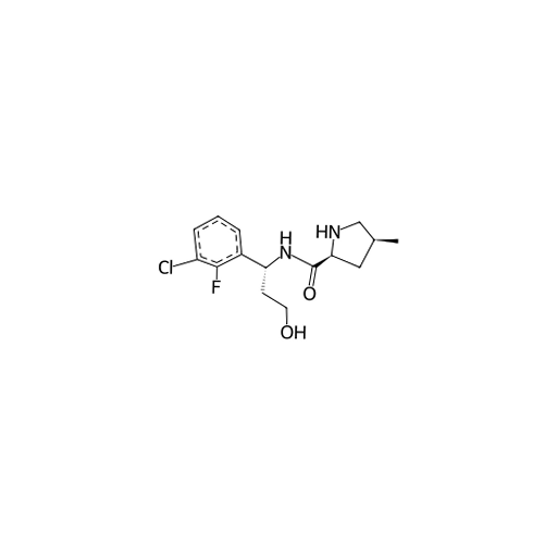 C[C@@H]1CN[C@H](C(=O)N[C@H](CCO)c2cccc(Cl)c2F)C1